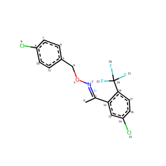 C/C(=N\OCc1ccc(Cl)cc1)c1cc(Cl)ccc1C(F)(F)F